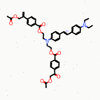 C=C(COC(C)=O)c1ccc(C(=O)OCCN(CCOC(=O)c2ccc(C(=O)COC(C)=O)cc2)c2ccc(/C=C/c3ccc(N(CC)CC)cc3)cc2)cc1